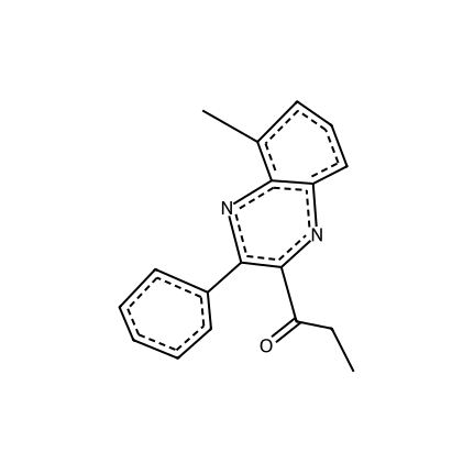 CCC(=O)c1nc2cccc(C)c2nc1-c1ccccc1